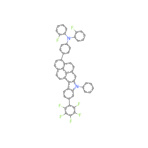 Fc1ccccc1N(c1ccc(-c2ccc3ccc4c5c(ccc2c35)cc2c4c3ccc(-c4c(F)c(F)c(F)c(F)c4F)cc3n2-c2ccccc2)cc1)c1ccccc1F